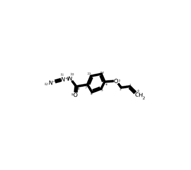 C=CCOc1ccc(C(=O)N=[N+]=[N-])cc1